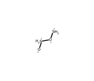 [O][SiH2]O[SiH3]